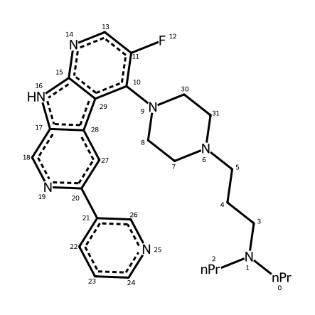 CCCN(CCC)CCCN1CCN(c2c(F)cnc3[nH]c4cnc(-c5cccnc5)cc4c23)CC1